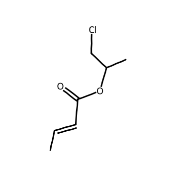 C/C=C/C(=O)OC(C)CCl